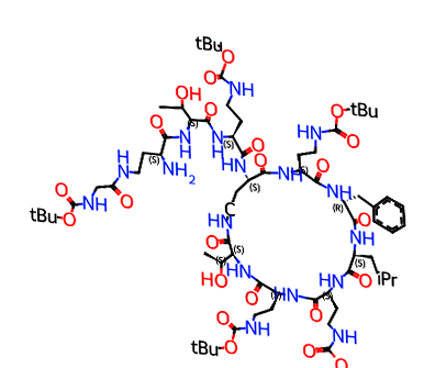 CC(C)C[C@@H]1NC(=O)[C@@H](Cc2ccccc2)NC(=O)[C@H](CCNC(=O)OC(C)(C)C)NC(=O)[C@@H](NC(=O)[C@H](CCNC(=O)OC(C)(C)C)NC(=O)[C@@H](NC(=O)[C@@H](N)CCNC(=O)CNC(=O)OC(C)(C)C)C(C)O)CCNC(=O)[C@H]([C@H](C)O)NC(=O)[C@H](CCNC(=O)OC(C)(C)C)NC(=O)[C@H](CCNC(=O)OC(C)(C)C)NC1=O